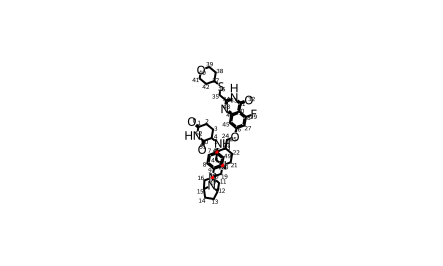 O=C1CCC(Nc2ccc(N3CC4CCC(C3)N4CCN3CCC(COc4cc(F)c5c(=O)[nH]c(CSC6CCOCC6)nc5c4)CC3)cc2)C(=O)N1